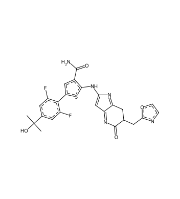 CC(C)(O)c1cc(F)c(-c2cc(C(N)=O)c(NC3=CC4=NC(=O)C(Cc5ncco5)CC4=N3)s2)c(F)c1